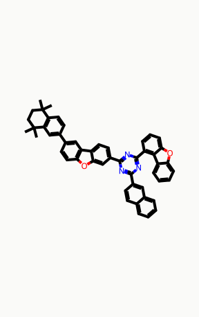 CC1(C)CCC(C)(C)c2cc(-c3ccc4oc5cc(-c6nc(-c7ccc8ccccc8c7)nc(-c7cccc8oc9ccccc9c78)n6)ccc5c4c3)ccc21